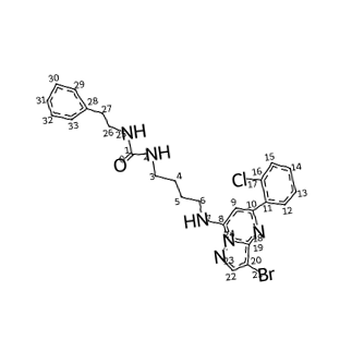 O=C(NCCCCNc1cc(-c2ccccc2Cl)nc2c(Br)cnn12)NCCc1ccccc1